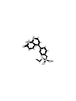 CCOP(=O)(O)Cc1ccc(-c2ccnc3[nH]c(=O)ccc23)cc1